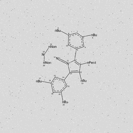 CCCCCC1=C(c2cc(CCCC)cc(CCCC)c2)[N+](=[N-])C(c2cc(CCCC)cc(CCCC)c2)=C1CCCC.CCCCCCCC[CH2][Ni][CH2]CCCCCCCC